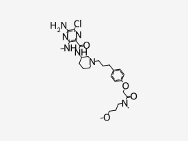 CNc1nc(N)c(Cl)nc1C(=O)NC1CCCN(CCCc2ccc(OCC(=O)N(C)CCCOC)cc2)C1